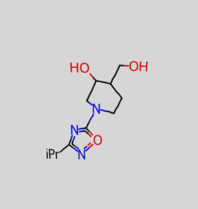 CC(C)c1noc(N2CCC(CO)C(O)C2)n1